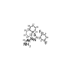 CC(=O)N1N=C(c2cc(F)ccc2F)S[C@]12c1ccccc1CC[C@H]2CCN